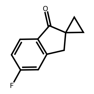 O=C1c2ccc(F)cc2CC12CC2